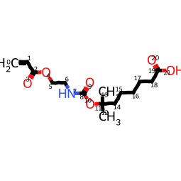 C=CC(=O)OCCNC(=O)OC(C)(C)CCCCCC(=O)O